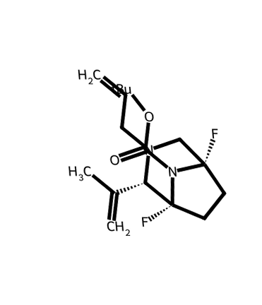 C=CCN1C[C@@]2(F)CC[C@@](F)([C@@H]1C(=C)C)N2C(=O)OC(C)(C)C